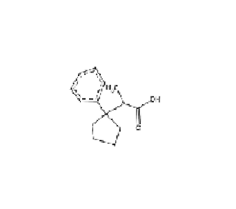 CC(C(=O)O)C1(c2ccccc2)CCCC1